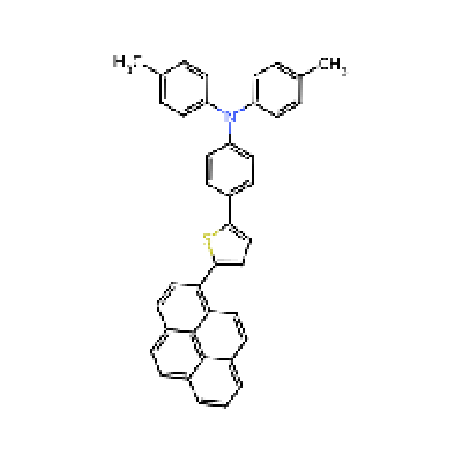 Cc1ccc(N(c2ccc(C)cc2)c2ccc(-c3ccc(-c4ccc5ccc6cccc7ccc4c5c67)s3)cc2)cc1